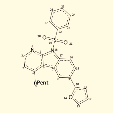 CCCCCc1ccnc2c1c1cc(-c3ccco3)ccc1n2S(=O)(=O)c1ccccc1